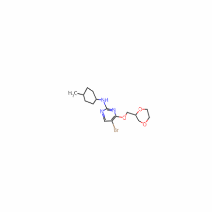 CC1CCC(Nc2ncc(Br)c(OCC3COCCO3)n2)CC1